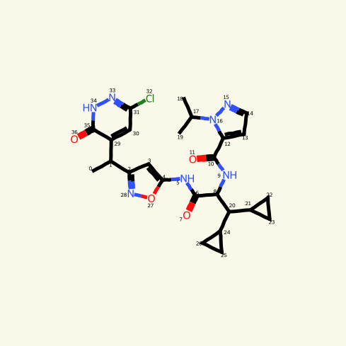 CC(c1cc(NC(=O)C(NC(=O)c2ccnn2C(C)C)C(C2CC2)C2CC2)on1)c1cc(Cl)n[nH]c1=O